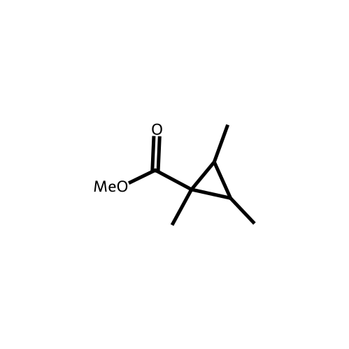 COC(=O)C1(C)C(C)C1C